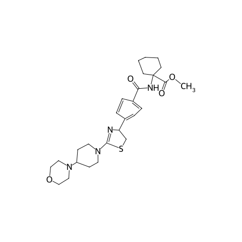 COC(=O)C1(NC(=O)c2ccc(C3CSC(N4CCC(N5CCOCC5)CC4)=N3)cc2)CCCCC1